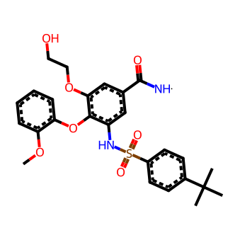 COc1ccccc1Oc1c(NS(=O)(=O)c2ccc(C(C)(C)C)cc2)cc(C([NH])=O)cc1OCCO